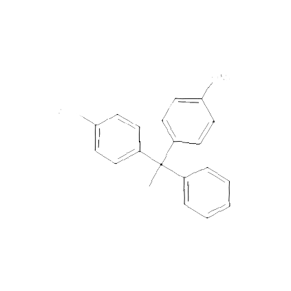 COc1ccc(C(C)(c2ccccc2)c2ccc(OC(C)=O)cc2)cc1